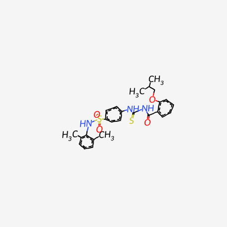 Cc1cccc(C)c1NS(=O)(=O)c1ccc(NC(=S)NC(=O)c2ccccc2OCC(C)C)cc1